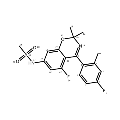 Cc1cc(F)ccc1C1=NC(C)(C)Oc2cc(NS(C)(=O)=O)cc(F)c21